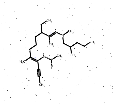 CC#C/C(NC(C)F)=C(\C)CCCC(CC)/C(C)=C/N(C)CC(C)CCC